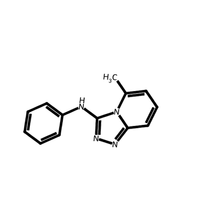 Cc1cccc2nnc(Nc3ccccc3)n12